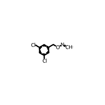 [CH]=NOCc1cc(Cl)cc(Cl)c1